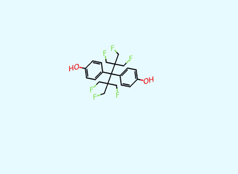 Oc1ccc(C(c2ccc(O)cc2)(C(CF)(CF)CF)C(CF)(CF)CF)cc1